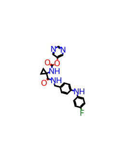 O=C(NC1(C(=O)NCc2ccc(Nc3ccc(F)cc3)cc2)CC1)Oc1cncnc1